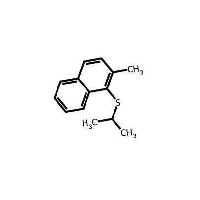 Cc1ccc2ccccc2c1SC(C)C